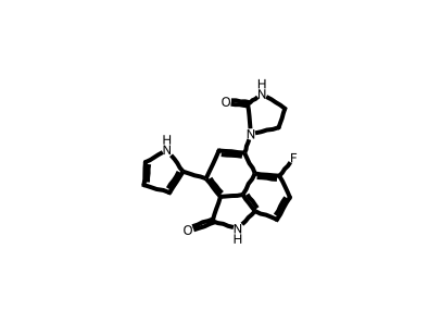 O=C1Nc2ccc(F)c3c(N4CCNC4=O)cc(-c4ccc[nH]4)c1c23